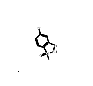 C[SH]1(=O)N[Se]c2cc(Br)ccc21